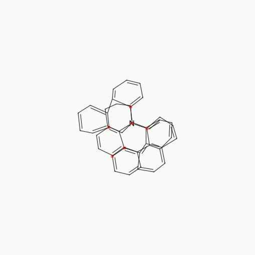 c1ccc(-c2ccccc2N(c2ccccc2-c2ccccc2)c2ccccc2-c2cccc3cccc(C4CCCCC4)c23)cc1